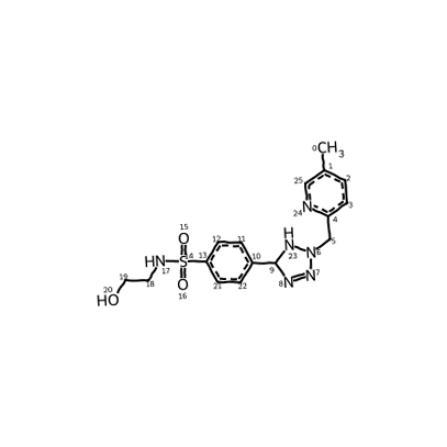 Cc1ccc(CN2N=NC(c3ccc(S(=O)(=O)NCCO)cc3)N2)nc1